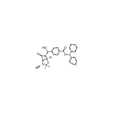 CC1(C)S[C@@H]2[C@H](C(O)c3ccc(C(=O)OC(c4ccccc4)c4ccccc4)cc3)C(=O)N2[C@H]1C#N